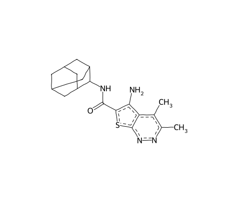 Cc1nnc2sc(C(=O)NC3C4CC5CC(C4)CC3C5)c(N)c2c1C